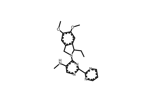 CCC1c2cc(OC)c(OC)cc2CN1c1nc(-c2ncccn2)ncc1NC